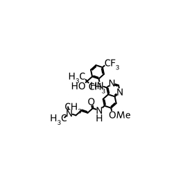 COc1cc2ncnc(Nc3cc(C(F)(F)F)ccc3C(C)(C)O)c2cc1NC(=O)C=CCN(C)C